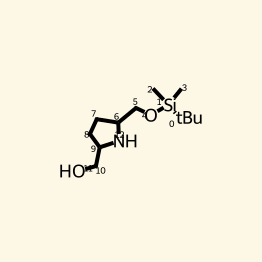 CC(C)(C)[Si](C)(C)OCC1CCC(CO)N1